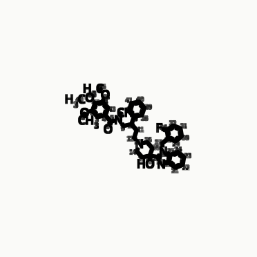 COc1cc(C(=O)N(C)CC(CCN2CCC(O)(c3nc4ccccc4n3Cc3ccccc3F)CC2)c2ccccc2)cc(OC)c1OC